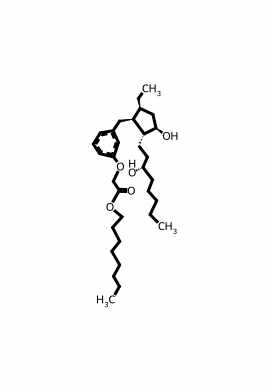 CCCCCCCCOC(=O)COc1cccc(C[C@H]2[C@@H](CC)C[C@@H](O)[C@@H]2CC[C@@H](O)CCCCC)c1